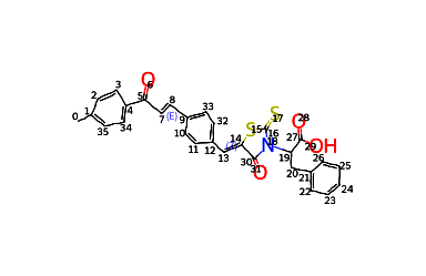 Cc1ccc(C(=O)/C=C/c2ccc(/C=C3\SC(=S)N(C(Cc4ccccc4)C(=O)O)C3=O)cc2)cc1